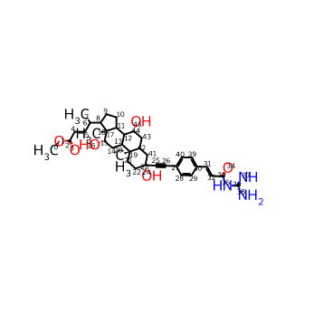 COC(=O)CCC(C)C1CCC2C3C(C[C@H](O)[C@]12C)[C@@]1(C)CC[C@](O)(C#Cc2ccc(C=CC(=O)NC(=N)N)cc2)CC1C[C@H]3O